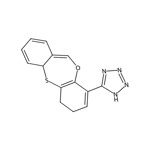 C1=CC2=COC3=C(CCC=C3c3nnn[nH]3)SC2C=C1